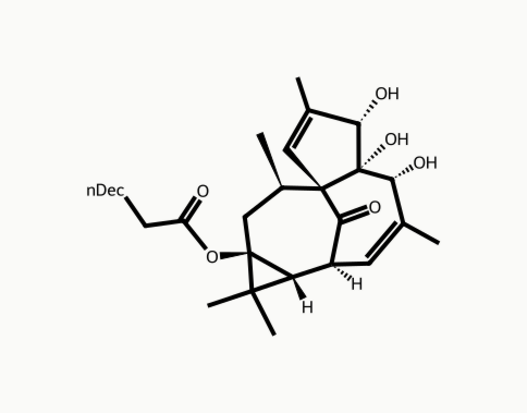 CCCCCCCCCCCC(=O)O[C@@]12C[C@@H](C)[C@]34C=C(C)[C@H](O)[C@@]3(O)[C@H](O)C(C)=C[C@H](C4=O)[C@@H]1C2(C)C